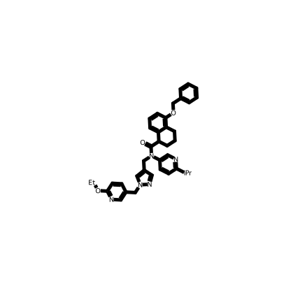 CCOc1ccc(Cn2cc(CN(C(=O)C3CCCc4c(OCc5ccccc5)cccc43)c3ccc(C(C)C)nc3)cn2)cn1